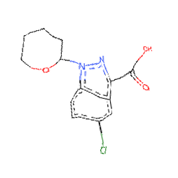 O=C(O)c1nn(C2CCCCO2)c2ccc(Cl)cc12